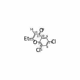 CCc1oc2c(Cl)cc(Cl)cc2c(=O)c1C